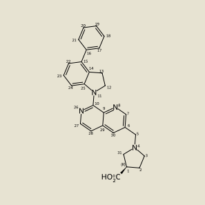 O=C(O)[C@@H]1CCN(Cc2cnc3c(N4CCc5c(-c6ccccc6)cccc54)nccc3c2)C1